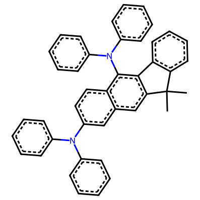 CC1(C)c2ccccc2-c2c1cc1cc(N(c3ccccc3)c3ccccc3)ccc1c2N(c1ccccc1)c1ccccc1